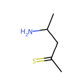 CC(=S)CC(C)N